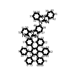 c1ccc(-c2c(-c3ccccc3)c(-c3ccccc3)c(-c3cccc(-n4c5ccc(-n6c7ccccc7n7c8ccccc8nc67)cc5n5c6cccnc6nc45)c3)c(-c3ccccc3)c2-c2ccccc2)cc1